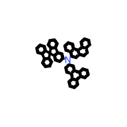 c1ccc2c(c1)-c1ccccc1C21c2ccccc2-c2cc(N(c3ccc4c5ccccc5c5ccccc5c4c3)c3cc4ccc5ccccc5c4c4ccccc34)ccc21